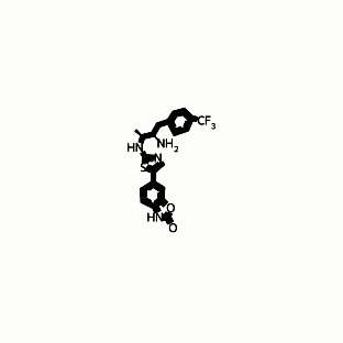 C[C@H](Nc1ncc(-c2ccc3[nH]c(=O)oc3c2)s1)[C@@H](N)Cc1ccc(C(F)(F)F)cc1